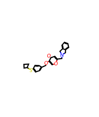 O=c1cc(CN2Cc3ccccc3C2)occ1OCc1ccc(SC2CCC2)cc1